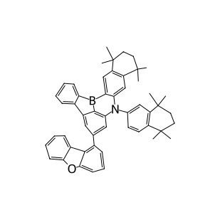 CC1(C)CCC(C)(C)c2cc(N3c4cc5c(cc4B4c6ccccc6-c6cc(-c7cccc8oc9ccccc9c78)cc3c64)C(C)(C)CCC5(C)C)ccc21